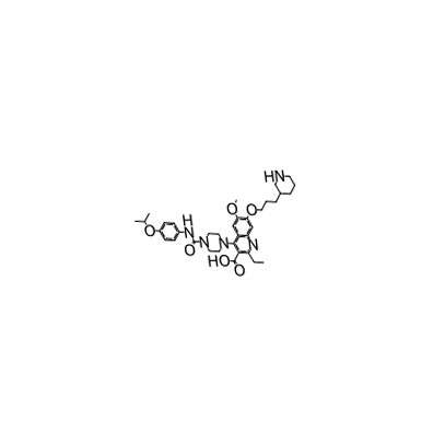 CCc1nc2cc(OCCCC3CCCNC3)c(OC)cc2c(N2CCN(C(=O)Nc3ccc(OC(C)C)cc3)CC2)c1C(=O)O